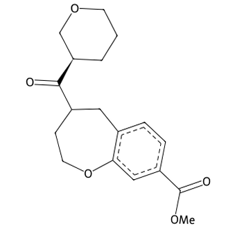 COC(=O)c1ccc2c(c1)OCCC(C(=O)[C@@H]1CCCOC1)C2